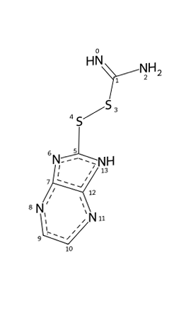 N=C(N)SSc1nc2nccnc2[nH]1